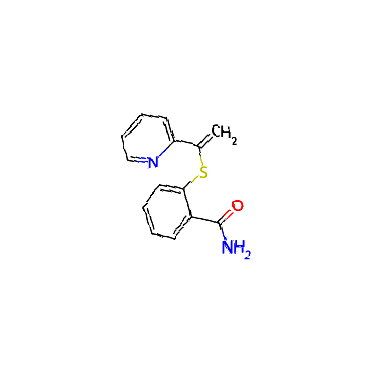 C=C(Sc1ccccc1C(N)=O)c1ccccn1